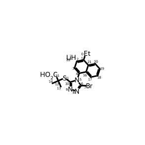 CCc1ccc(-n2c(Br)nnc2SC(C)(C)C(=O)O)c2ccccc12.[LiH]